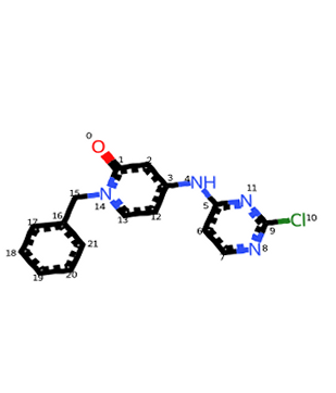 O=c1cc(Nc2ccnc(Cl)n2)ccn1Cc1ccccc1